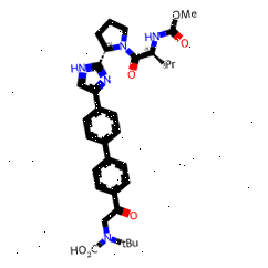 COC(=O)N[C@H](C(=O)N1CCC[C@H]1c1nc(-c2ccc(-c3ccc(C(=O)CN(C(=O)O)C(C)(C)C)cc3)cc2)c[nH]1)C(C)C